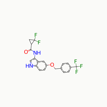 O=C(Nc1c[nH]c2ccc(OCc3ccc(C(F)(F)F)cc3)cc12)C1CC1(F)F